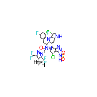 Cn1nc(NS(C)(=O)=O)c2c(Cl)ccc(-c3cc4[nH]cc(Cl)c4nc3[C@H](Cc3cc(F)cc(F)c3)NC(=O)Cn3nc(C(F)F)c4c3C(F)(F)[C@@H]3C[C@H]43)c21